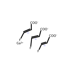 O=C([O-])/C=C/F.O=C([O-])/C=C/F.O=C([O-])/C=C/F.[Ga+3]